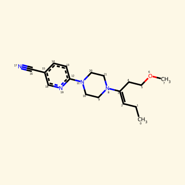 CC/C=C(\CCOC)N1CCN(c2ccc(C#N)cn2)CC1